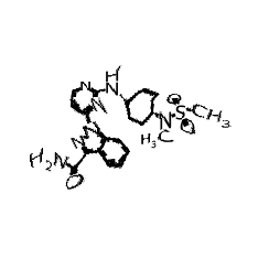 CN([C@H]1CC[C@H](Nc2nccc(-n3nc(C(N)=O)c4ccccc43)n2)CC1)S(C)(=O)=O